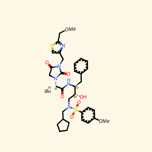 CC[C@H](C)[C@@H](C(=O)N[C@@H](Cc1ccccc1)[C@H](O)CN(CC1CCCC1)S(=O)(=O)c1ccc(OC)cc1)N1CC(=O)N(Cc2csc(COC)n2)C1=O